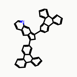 c1cnc2cc3c(cc2c1)=C(c1ccc2c4ccccc4c4ccccc4c2c1)CC=3c1ccc2c3ccccc3c3ccccc3c2c1